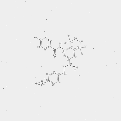 Cc1ccc(C(=O)Nc2cc(C(O)C=Cc3ccc(C(=O)O)cc3)cc3c2C(C)(C)CCC3(C)C)cc1